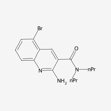 CCCN(CCC)C(=O)c1cc2c(Br)cccc2nc1N